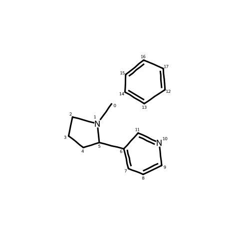 CN1CCCC1c1cccnc1.c1ccccc1